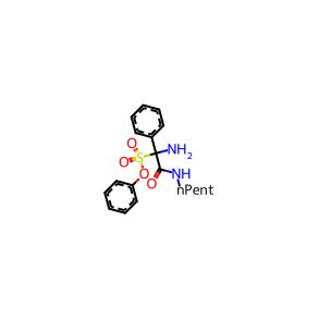 CCCCCNC(=O)C(N)(c1ccccc1)S(=O)(=O)Oc1ccccc1